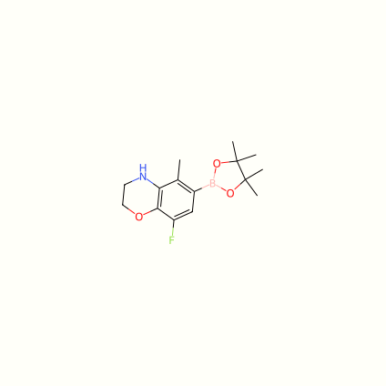 Cc1c(B2OC(C)(C)C(C)(C)O2)cc(F)c2c1NCCO2